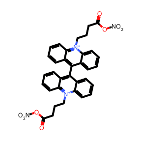 O=C(CCC[n+]1c2ccccc2c(-c2c3ccccc3[n+](CCCC(=O)O[N+](=O)[O-])c3ccccc23)c2ccccc21)O[N+](=O)[O-]